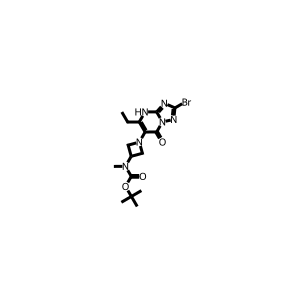 CCc1[nH]c2nc(Br)nn2c(=O)c1N1CC(N(C)C(=O)OC(C)(C)C)C1